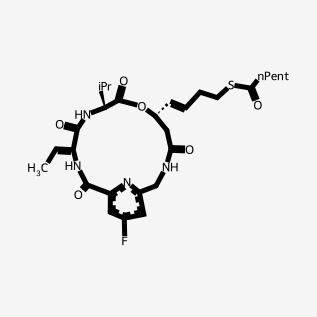 C/C=C1\NC(=O)c2cc(F)cc(n2)CNC(=O)C[C@@H](/C=C/CCSC(=O)CCCCC)OC(=O)[C@H](C(C)C)NC1=O